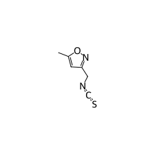 Cc1cc(CN=C=S)no1